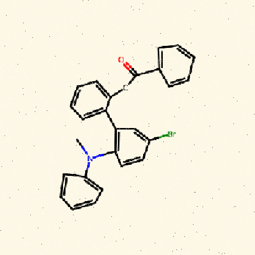 CN(c1ccccc1)c1ccc(Br)cc1-c1ccccc1CC(=O)c1ccccc1